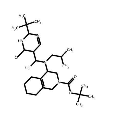 CC(C)CN(C1CN(C(=O)OC(C)(C)C)CC2=C1CCCC2)C(O)C1C=NC(C(C)(C)C)NC1Cl